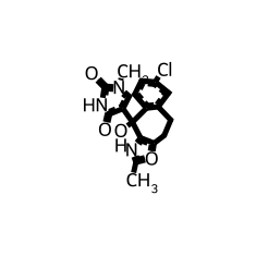 Cc1nc2c(o1)CCc1cc(Cl)ccc1C2(O)c1cn(C)c(=O)[nH]c1=O